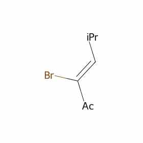 CC(=O)C(Br)=CC(C)C